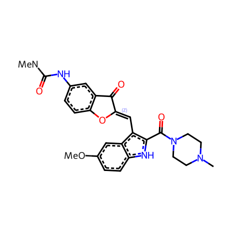 CNC(=O)Nc1ccc2c(c1)C(=O)/C(=C/c1c(C(=O)N3CCN(C)CC3)[nH]c3ccc(OC)cc13)O2